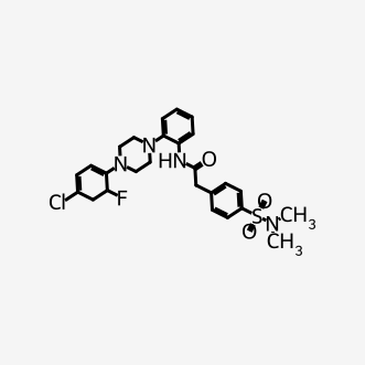 CN(C)S(=O)(=O)c1ccc(CC(=O)Nc2ccccc2N2CCN(C3=CC=C(Cl)CC3F)CC2)cc1